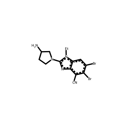 CCn1c(N2CCC(N)C2)nc2c(C#N)c(Br)c(Br)cc21